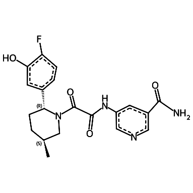 C[C@H]1CC[C@H](c2ccc(F)c(O)c2)N(C(=O)C(=O)Nc2cncc(C(N)=O)c2)C1